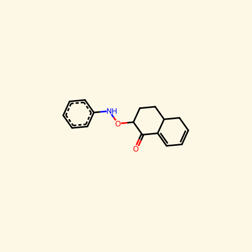 O=C1C2=CC=CCC2CCC1ONc1ccccc1